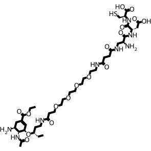 CCOC(=O)C1=C[C@@H](O[C@@H](CC)CCNC(=O)CCOCCOCCOCCOCCNC(=O)CCC(=O)NC[C@H](N)C(=O)N[C@@H](CC(=O)O)C(=O)N[C@@H](CS)C(=O)O)[C@H](NC(C)=O)[C@@H](N)C1